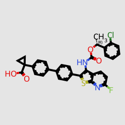 C[C@@H](OC(=O)Nc1c(-c2ccc(-c3ccc(C4(C(=O)O)CC4)cc3)cc2)sc2nc(F)ccc12)c1ccccc1Cl